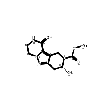 C[C@@H]1Cc2nn3c(c2CN1C(=O)OC(C)(C)C)C(=O)NCC3